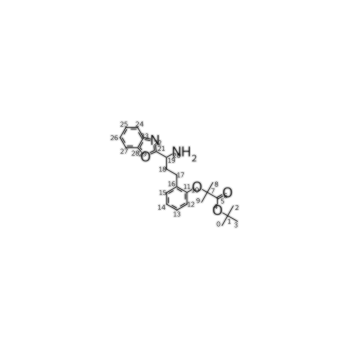 CC(C)(C)OC(=O)C(C)(C)Oc1ccccc1CCC(N)c1nc2ccccc2o1